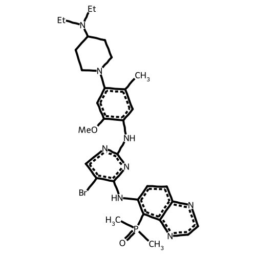 CCN(CC)C1CCN(c2cc(OC)c(Nc3ncc(Br)c(Nc4ccc5nccnc5c4P(C)(C)=O)n3)cc2C)CC1